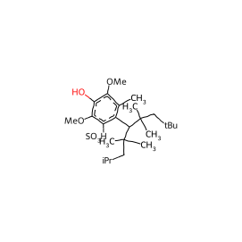 COc1c(C)c(C(C(C)(C)CC(C)C)C(C)(C)CC(C)(C)C)c(S(=O)(=O)O)c(OC)c1O